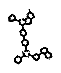 Cc1ccc2ccc3c(-c4ccc(-c5ccc(-c6nc(-c7ccccc7)nc(-c7cccc(-c8cccc9ccncc89)c7)n6)cc5)cc4)cc(-c4ccccc4)nc3c2n1